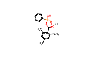 Cc1cc(C)c(C(=O)O[PH](O)(O)c2ccccc2)c(C)c1.[LiH]